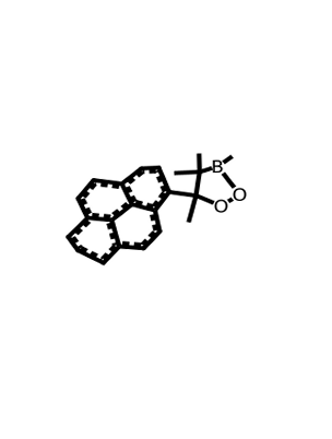 CB1OOC(C)(c2ccc3ccc4cccc5ccc2c3c45)C1(C)C